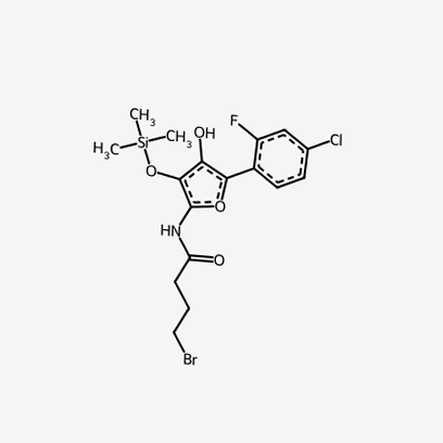 C[Si](C)(C)Oc1c(NC(=O)CCCBr)oc(-c2ccc(Cl)cc2F)c1O